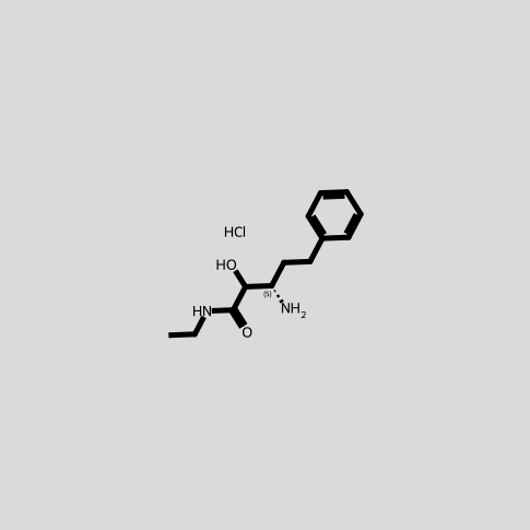 CCNC(=O)C(O)[C@@H](N)CCc1ccccc1.Cl